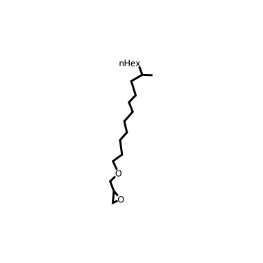 CCCCCCC(C)CCCCCCCCCOCC1CO1